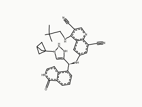 CC(C)(C)CNc1c(C#N)cnc2c(C#N)cc(N[C@H](C3=CN(C45CC(C4)C5)NN3)c3cccc4c(=O)[nH]ccc34)cc12